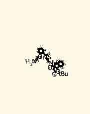 CC(C)(C)OC(=O)CC1(C(=O)NCc2nc(-c3ccccc3OCCN)cs2)Cc2ccccc2C1